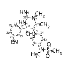 C=C1[C@@H](c2ccc(N(C)S(C)(=O)=O)cc2)[C@@](C)(c2cccc(C#N)c2)NC(=N)N1C